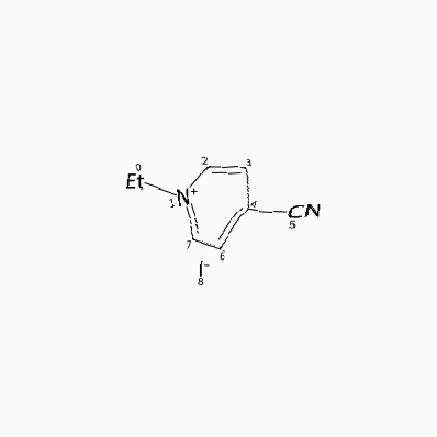 CC[n+]1ccc(C#N)cc1.[I-]